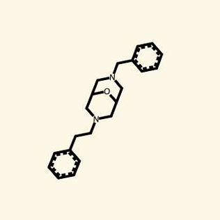 c1ccc(CCN2CC3CN(Cc4ccccc4)CC(C2)O3)cc1